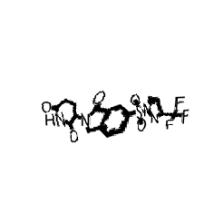 O=C1CCC(N2Cc3ccc(S(=O)(=O)n4ccc(C(F)(F)F)n4)cc3C2=O)C(=O)N1